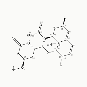 [2H]O[C@H]1CC(=O)OC(CC[C@@H]2[C@@H]3C(=C[C@H](C)C[C@@H]3OC(=O)[C@@H](C)CC)C=C[C@@H]2C)C1